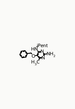 CCCC(C)Nc1nc(N)nc(C)c1OCc1ccccc1